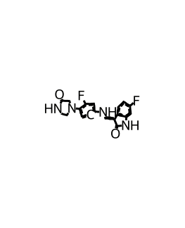 O=C1CN(c2ccc(N/C=C3/C(=O)Nc4cc(F)ccc43)cc2F)CCN1